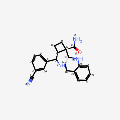 N#Cc1cccc(C(N)[C@H]2CC[C@]2(C(N)=O)[C@H]2CCc3ccccc3N2)c1